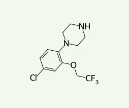 FC(F)(F)COc1cc(Cl)ccc1N1CCNCC1